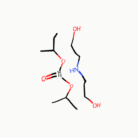 CC(C)[O][Ti](=[O])[O]C(C)C.OCCNCCO